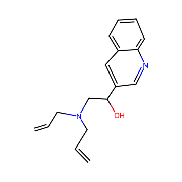 C=CCN(CC=C)CC(O)c1cnc2ccccc2c1